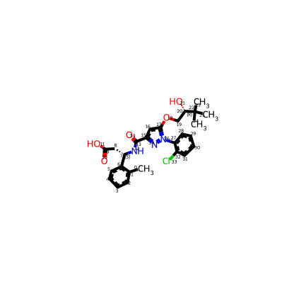 Cc1ccccc1[C@H](CC(=O)O)NC(=O)c1cc(OC[C@H](O)C(C)(C)C)n(-c2ccccc2Cl)n1